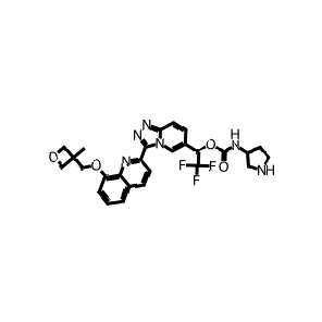 CC1(COc2cccc3ccc(-c4nnc5ccc([C@@H](OC(=O)NC6CCNC6)C(F)(F)F)cn45)nc23)COC1